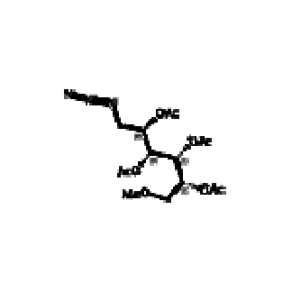 COC[C@@H](OC(C)=O)[C@@H](OC(C)=O)[C@H](OC(C)=O)[C@@H](CN=[N+]=[N-])OC(C)=O